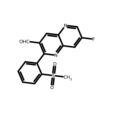 CS(=O)(=O)c1ccccc1-c1nc2cc(F)cnc2cc1C=O